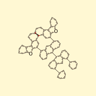 c1ccc(-c2cccc3c(-c4c5cccc(-c6cc7ccccc7c7c6oc6ccccc67)c5cc5c(-c6cc7ccccc7c7c6oc6ccccc67)cccc45)c4cccc(-c5ccccc5)c4cc23)cc1